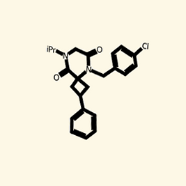 CC(C)N1CC(=O)N(Cc2ccc(Cl)cc2)C2(CC(c3ccccc3)C2)C1=O